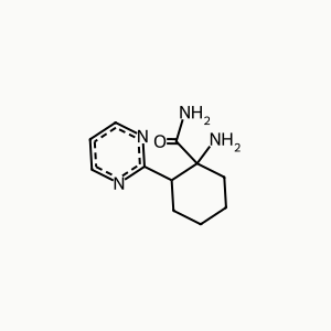 NC(=O)C1(N)CCCCC1c1ncccn1